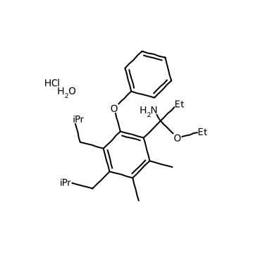 CCOC(N)(CC)c1c(C)c(C)c(CC(C)C)c(CC(C)C)c1Oc1ccccc1.Cl.O